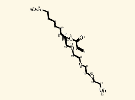 C=CC(=O)OC.CCCCCCCCCCCCCCCCCCOCCOCCOCCO